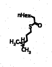 CCCCCCCC(=O)SCCC[SiH](C)C